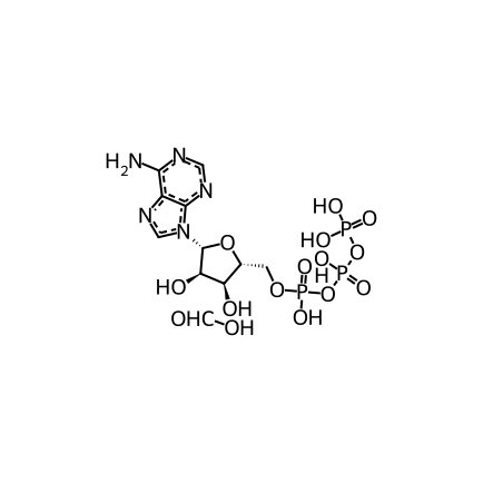 Nc1ncnc2c1ncn2[C@@H]1O[C@H](COP(=O)(O)OP(=O)(O)OP(=O)(O)O)[C@@H](O)[C@H]1O.O=CO